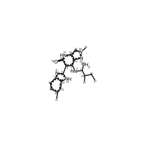 BC(Nc1c(-c2nc3ccc(C)cc3[nH]2)c(=O)[nH]c2cn(C)nc12)C(C)CC